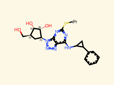 CC(C)Sc1nc(NC2CC2c2ccccc2)c2nnn([C@H]3C[C@@H](CO)[C@H](O)[C@@H]3O)c2n1